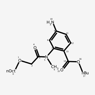 CCCCCCCCOCC(=O)N(C)c1cc(N)ccc1C(=O)OCCCC